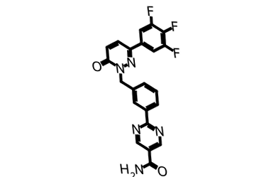 NC(=O)c1cnc(-c2cccc(Cn3nc(-c4cc(F)c(F)c(F)c4)ccc3=O)c2)nc1